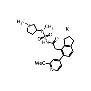 COc1cc(-c2ccc3c(c2CC(=O)NS(=O)(=O)N(C)C2CCN(C)C2)CCC3)ccn1.[K]